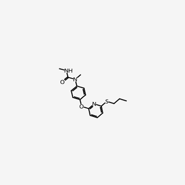 CCCSc1cccc(Oc2ccc(N(C)C(=O)NC)cc2)n1